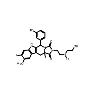 CCN(CCO)CCN1C(=O)N2C(c3cccc(O)c3)c3[nH]c4cc(F)c(OC)cc4c3CC2(C)C1=O